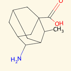 CC1C2CC3CC(CC1(C(=O)O)C3)C2N